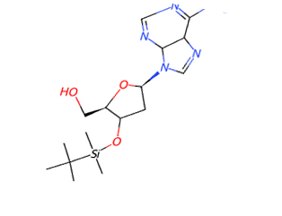 CC(C)(C)[Si](C)(C)OC1C[C@H](N2C=NC3C(N)=NC=NC32)O[C@@H]1CO